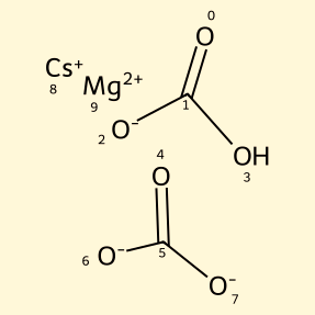 O=C([O-])O.O=C([O-])[O-].[Cs+].[Mg+2]